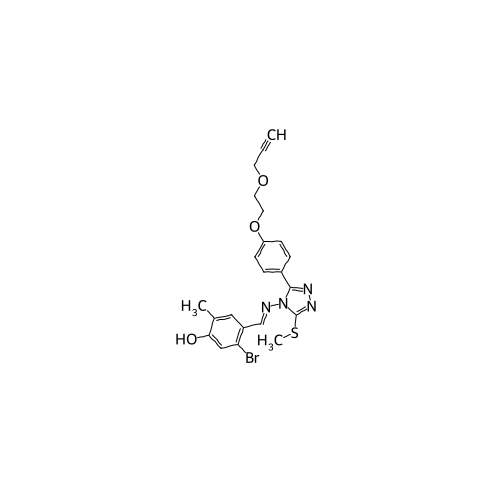 C#CCOCCOc1ccc(-c2nnc(SC)n2/N=C/c2cc(C)c(O)cc2Br)cc1